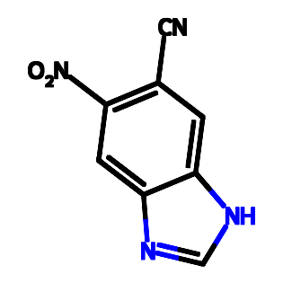 N#Cc1cc2[nH]cnc2cc1[N+](=O)[O-]